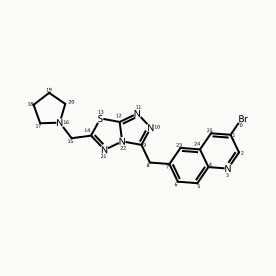 Brc1cnc2ccc(Cc3nnc4sc(CN5CCCC5)nn34)cc2c1